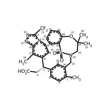 Cc1ccc([C@H](CC(=O)O)c2ccn3c(C(F)(F)F)nnc3c2C)cc1CN1CC(C)(C)Oc2ccccc2S1(=O)=O